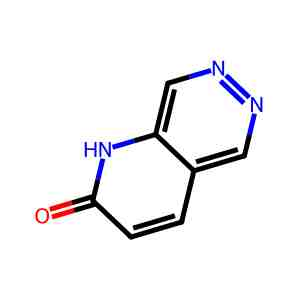 O=c1ccc2cnncc2[nH]1